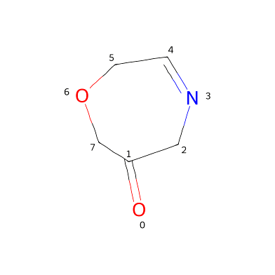 O=C1CN=CCOC1